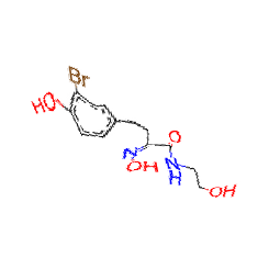 O=C(NCCO)C(Cc1ccc(O)c(Br)c1)=NO